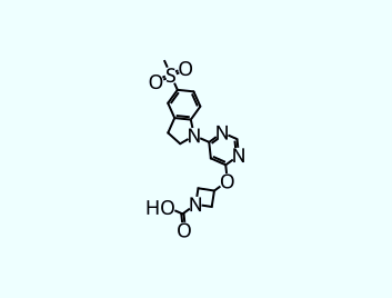 CS(=O)(=O)c1ccc2c(c1)CCN2c1cc(OC2CN(C(=O)O)C2)ncn1